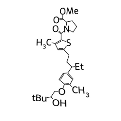 CCC(CCc1cc(C)c(C(=O)N2CCCC2C(=O)OC)s1)c1ccc(OCC(O)C(C)(C)C)c(C)c1